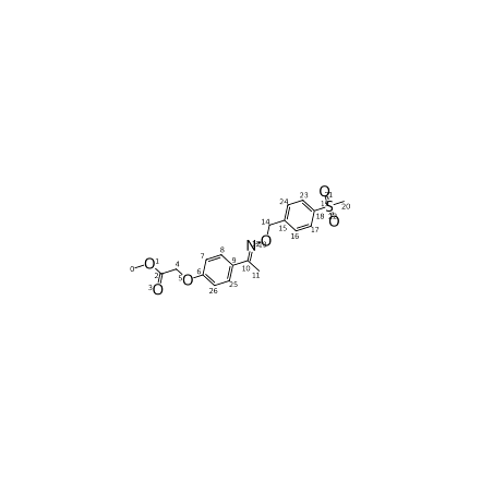 COC(=O)COc1ccc(C(C)=NOCc2ccc(S(C)(=O)=O)cc2)cc1